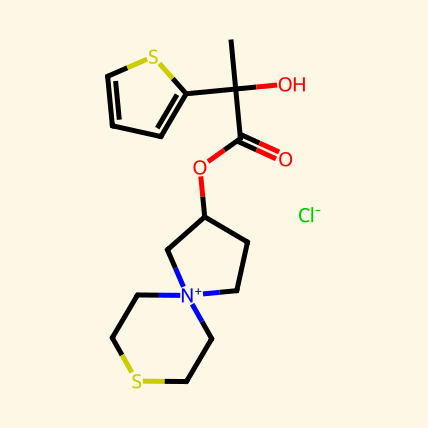 CC(O)(C(=O)OC1CC[N+]2(CCSCC2)C1)c1cccs1.[Cl-]